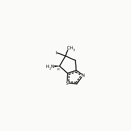 CC1(I)Cc2ncsc2[C@H]1N